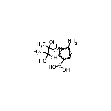 CC(C)(O)C(C)(C)O.Nc1ncc(B(O)O)cn1